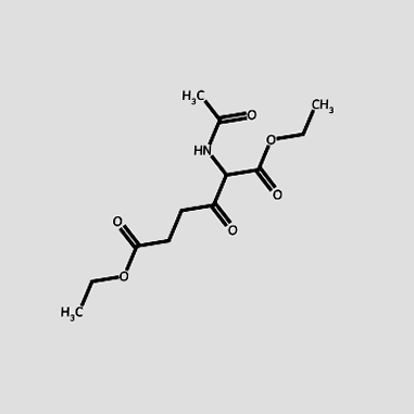 CCOC(=O)CCC(=O)C(NC(C)=O)C(=O)OCC